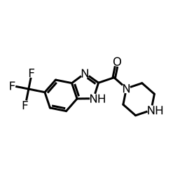 O=C(c1nc2cc(C(F)(F)F)ccc2[nH]1)N1CCNCC1